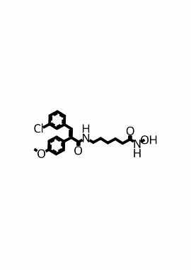 COc1ccc(/C(=C\c2cccc(Cl)c2)C(=O)NCCCCCC(=O)NO)cc1